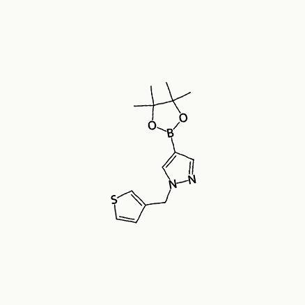 CC1(C)OB(c2cnn(Cc3ccsc3)c2)OC1(C)C